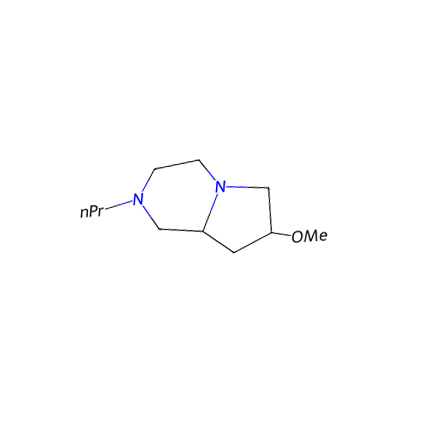 CCCN1CCN2CC(OC)CC2C1